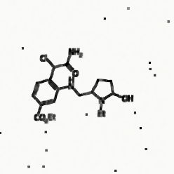 CCOC(=O)c1ccc(C(Cl)C(N)=O)c(NCC2CCC(O)N2CC)c1